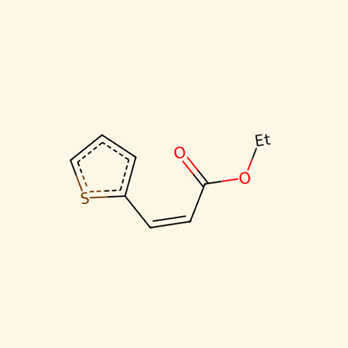 CCOC(=O)/C=C\c1cccs1